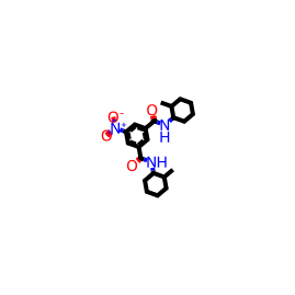 CC1CCCCC1NC(=O)c1cc(C(=O)NC2CCCCC2C)cc([N+](=O)[O-])c1